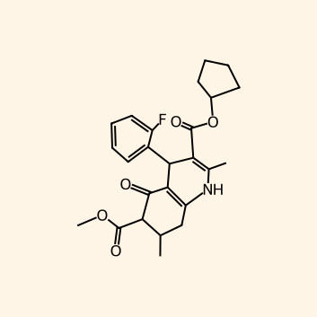 COC(=O)C1C(=O)C2=C(CC1C)NC(C)=C(C(=O)OC1CCCC1)C2c1ccccc1F